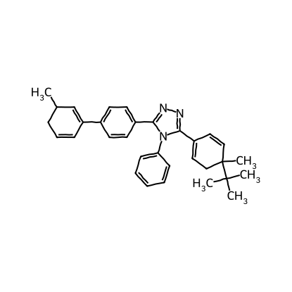 CC1C=C(c2ccc(-c3nnc(C4=CCC(C)(C(C)(C)C)C=C4)n3-c3ccccc3)cc2)C=CC1